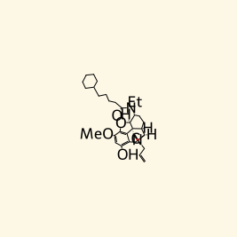 C=CCN1CC[C@]23c4c5c(O)cc(OC)c4O[C@H]2[C@H](N(CC)C(=O)CCCCC2CCCCC2)CC[C@H]3[C@H]1C5